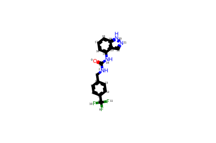 O=C(NCc1ccc(C(F)(F)F)cc1)Nc1cccc2[nH]ncc12